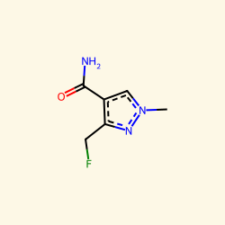 Cn1cc(C(N)=O)c(CF)n1